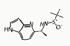 C[C@H](N[S+]([O-])C(C)(C)C)c1ccc2[nH]ccc2n1